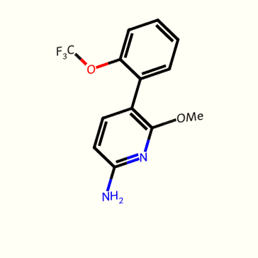 COc1nc(N)ccc1-c1ccccc1OC(F)(F)F